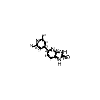 Cc1cc(-c2ccc3[nH]c(=O)[nH]c3n2)cc(C)n1